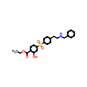 CCOC(=O)c1ccc(S(=O)(=O)c2ccc(CCNCc3ccccc3)cc2)cc1O